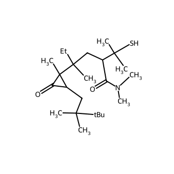 CCC(C)(CC(C(=O)N(C)C)C(C)(C)S)C1(C)C(=O)C1CC(C)(C)C(C)(C)C